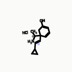 C[C@H](N)C1(/C=C/C2CC2)C=CC=C(O)C1.Cl